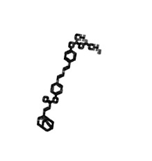 CCOC(C)Oc1ccc(C=CC=Cc2ccc(OC(=O)C=CC3C4CC5CC(C4)CC3C5)cc2)cc1